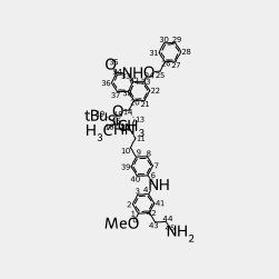 COc1ccc(Nc2ccc(CCNC[C@H](O[Si](C)(C)C(C)(C)C)c3ccc(OCc4ccccc4)c4[nH]c(=O)ccc34)cc2)cc1CCN